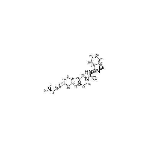 CN(C)CC#Cc1cccc(CN2CCN(C(=O)Nc3noc4ccccc34)CC2)c1